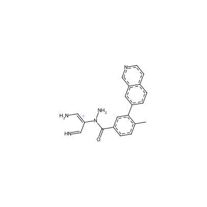 Cc1ccc(C(=O)N(N)/C(C=N)=C/N)cc1-c1ccc2ccncc2c1